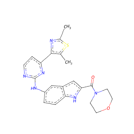 Cc1nc(-c2ccnc(Nc3ccc4[nH]c(C(=O)N5CCOCC5)cc4c3)n2)c(C)s1